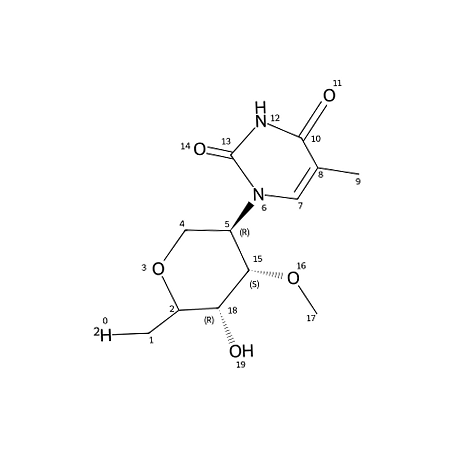 [2H]CC1OC[C@@H](n2cc(C)c(=O)[nH]c2=O)[C@H](OC)[C@@H]1O